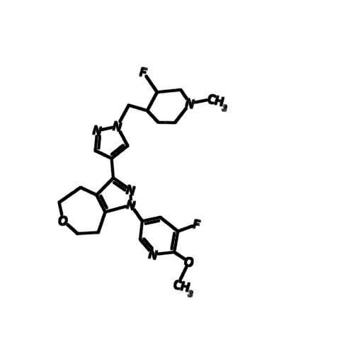 COc1ncc(-n2nc(-c3cnn(CC4CCN(C)CC4F)c3)c3c2CCOCC3)cc1F